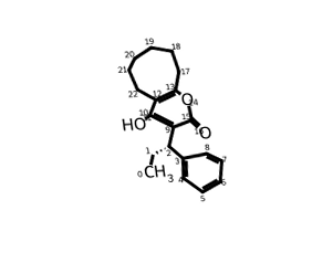 CC[C@@H](c1ccccc1)c1c(O)c2c(oc1=O)CCCCCC2